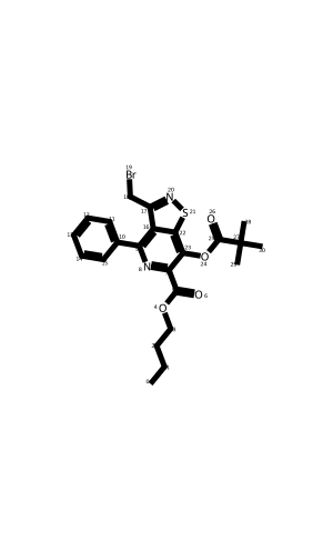 CCCCOC(=O)c1nc(-c2ccccc2)c2c(CBr)nsc2c1OC(=O)C(C)(C)C